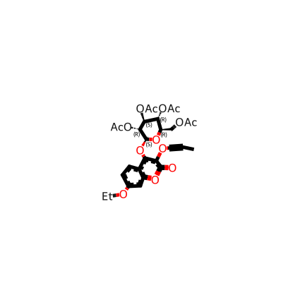 CC#COc1c(O[C@@H]2O[C@H](COC(C)=O)[C@@H](OC(C)=O)[C@H](OC(C)=O)[C@H]2OC(C)=O)c2ccc(OCC)cc2oc1=O